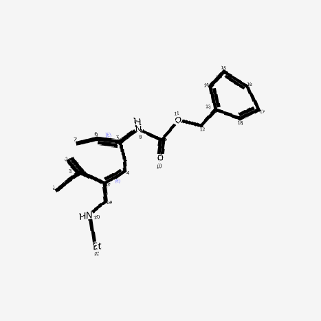 C=C(C)/C(=C\C(=C/C)NC(=O)OCc1ccccc1)CNCC